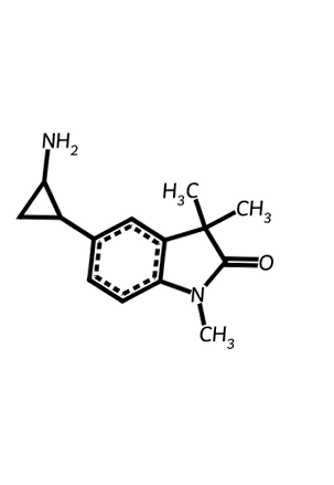 CN1C(=O)C(C)(C)c2cc(C3CC3N)ccc21